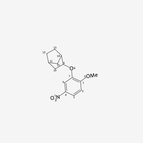 COc1ccc([N+](=O)[O-])cc1OC1CC2CCC1C2